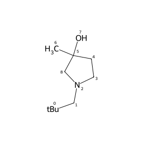 CC(C)(C)CN1CCC(C)(O)C1